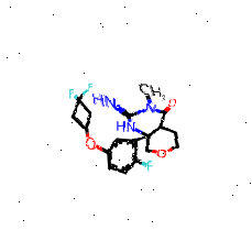 CN1C(=N)NC2(c3cc(OC4CC(F)(F)C4)ccc3F)COCCC2C1=O